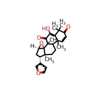 CC1(C)C(=O)C=C[C@@]2(C)C1=C(O)C(=O)[C@]1(C)C2CC[C@@]2(C)[C@H](c3ccoc3)C[C@H]3O[C@]321